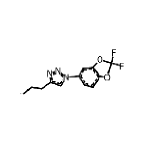 [CH2]CCc1cn(-c2ccc3c(c2)OC(F)(F)O3)nn1